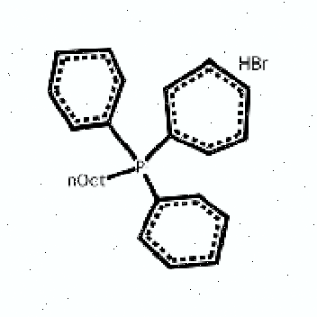 Br.CCCCCCCC[P](c1ccccc1)(c1ccccc1)c1ccccc1